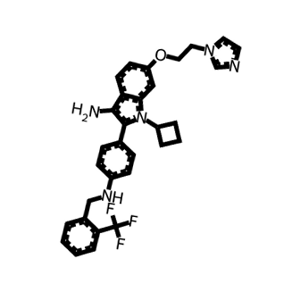 Nc1c(-c2ccc(NCc3ccccc3C(F)(F)F)cc2)n(C2CCC2)c2cc(OCCn3ccnc3)ccc12